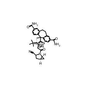 CC(C)(C)[C@H](CC1(c2nnn[nH]2)c2ccc(C(N)=O)cc2CCc2cc(C(N)=O)ccc21)NCC(=O)N1C(C#N)C[C@@H]2C[C@@H]21